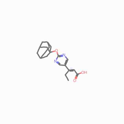 CC/C(=C\C(=O)O)c1cnc(OC23CC4CC(CC(C4)C2)C3)nc1